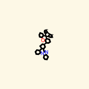 c1ccc2c(c1)Oc1c(-c3ccc4c5ccccc5n5c6ccccc6nc5c4c3)cccc1C21c2ccccc2-c2ccccc21